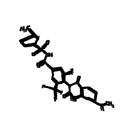 CNc1ccc2c(=O)n(-c3c(F)cc(C(=O)NS(=O)(=O)c4ccc(C)s4)cc3C(F)(F)F)c(=O)[nH]c2c1